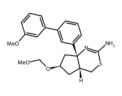 COCO[C@@H]1C[C@H]2CSC(N)=N[C@@]2(c2cccc(-c3cccc(OC)c3)c2)C1